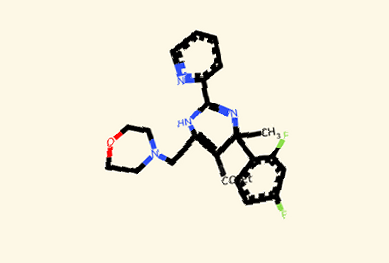 CCOC(=O)C1=C(CN2CCOCC2)NC(c2ccccn2)=NC1(C)c1ccc(F)cc1F